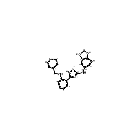 c1cnc(NCc2ccncc2)c(-c2nnc(Nc3ccc4c(c3)OCO4)[nH]2)c1